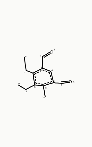 CCc1c(C=O)cc(C=O)c(C)c1CC